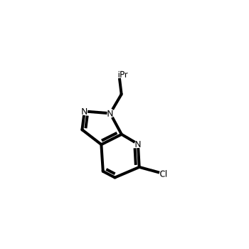 CC(C)Cn1ncc2ccc(Cl)nc21